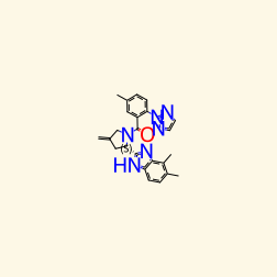 C=C1C[C@@H](c2nc3c(C)c(C)ccc3[nH]2)N(C(=O)c2cc(C)ccc2-n2nccn2)C1